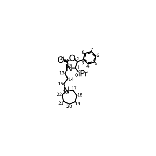 CC(C)C1C(c2ccccc2)OC(=O)N1CCCN1CCCCCC1